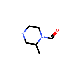 CC1C[N]CCN1C=O